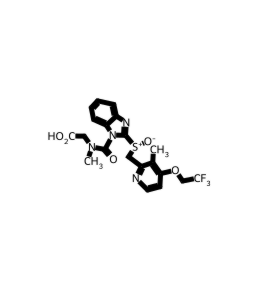 Cc1c(OCC(F)(F)F)ccnc1C[S+]([O-])c1nc2ccccc2n1C(=O)N(C)CC(=O)O